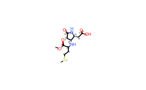 COC(=O)C(CCSC)N[C@@H]1CC(=O)N[C@H]1CC(=O)O